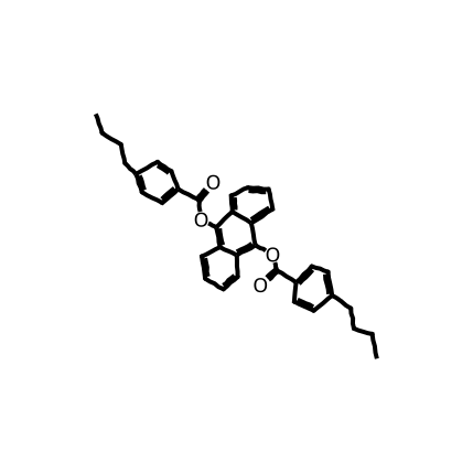 CCCCc1ccc(C(=O)Oc2c3ccccc3c(OC(=O)c3ccc(CCCC)cc3)c3ccccc23)cc1